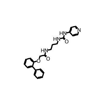 O=C(COc1ccccc1-c1ccccc1)NCCCNC(=O)Nc1ccncc1